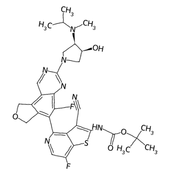 CC(C)N(C)[C@@H]1CN(c2ncc3c4c(c(-c5ncc(F)c6sc(NC(=O)OC(C)(C)C)c(C#N)c56)c(F)c3n2)COC4)C[C@@H]1O